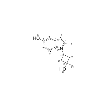 Cc1nc2cc(O)cnc2n1C1CC(C)(O)C1